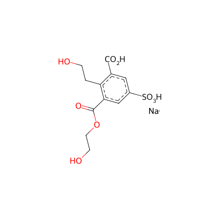 O=C(O)c1cc(S(=O)(=O)O)cc(C(=O)OCCO)c1CCO.[Na]